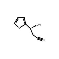 N#CC[C@H](O)c1cccs1